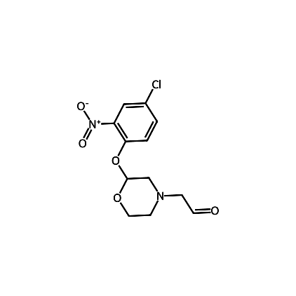 O=CCN1CCOC(Oc2ccc(Cl)cc2[N+](=O)[O-])C1